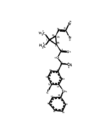 CC1(C)[C@H](C(=O)OC(C#N)c2ccc(F)c(Oc3ccccc3)c2)[C@@H]1C=C(Br)Br